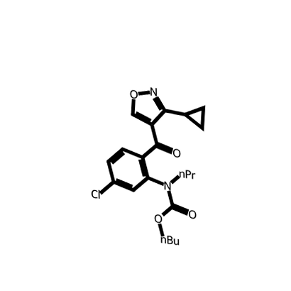 CCCCOC(=O)N(CCC)c1cc(Cl)ccc1C(=O)c1conc1C1CC1